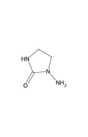 NN1[CH]CNC1=O